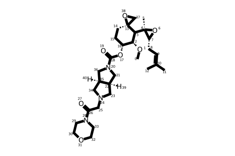 CO[C@H]1C([C@@]2(C)O[C@@H]2CC=C(C)C)[C@]2(CC[C@H]1OC(=O)N1C[C@H]3CN(CC(=O)N4CCOCC4)C[C@H]3C1)CO2